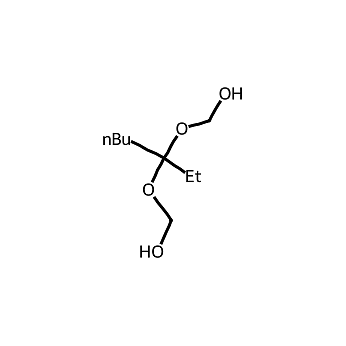 CCCCC(CC)(OCO)OCO